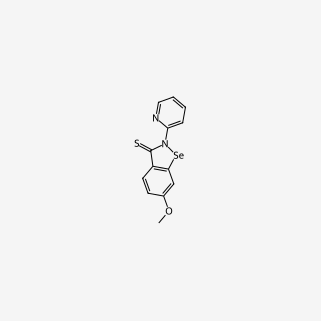 COc1ccc2c(=S)n(-c3ccccn3)[se]c2c1